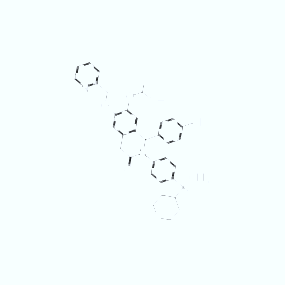 CC(C)Oc1cc2c(cc1OCc1ccccn1)CC(=O)N(c1ccc([C@@](C)(O)C3CCOCC3)cc1)C2c1ccc(Cl)cc1